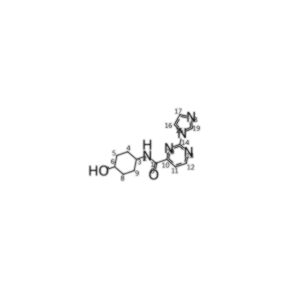 O=C(NC1CCC(O)CC1)c1ccnc(-n2ccnc2)n1